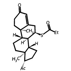 CCC(=O)S[C@@H]1CC2=CC(=O)CC[C@]2(C)[C@H]2CC[C@]3(C)[C@@H](C(C)=O)CC[C@H]3[C@H]12